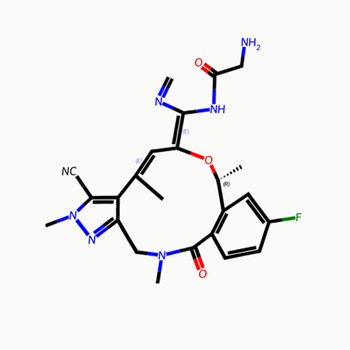 C=N/C(NC(=O)CN)=C1\C=C(/C)c2c(nn(C)c2C#N)CN(C)C(=O)c2ccc(F)cc2[C@@H](C)O1